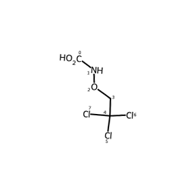 O=C(O)NOCC(Cl)(Cl)Cl